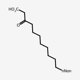 CCCCCCCCCCCCCCCCCC(=O)CC(=O)O